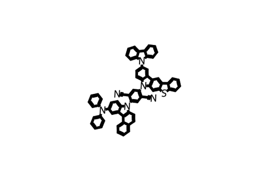 N#Cc1cc(-n2c3ccc(N(c4ccccc4)c4ccccc4)cc3c3c4ccccc4ccc32)c(C#N)cc1-n1c2ccc(-n3c4ccccc4c4ccccc43)cc2c2cc3c(cc21)sc1ccccc13